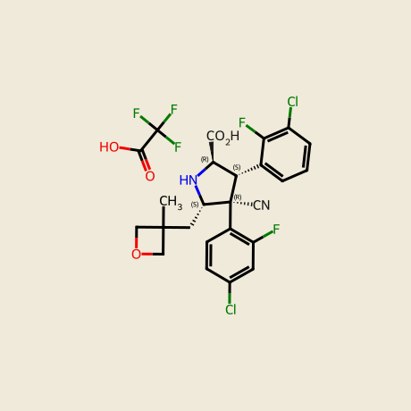 CC1(C[C@@H]2N[C@@H](C(=O)O)[C@H](c3cccc(Cl)c3F)[C@@]2(C#N)c2ccc(Cl)cc2F)COC1.O=C(O)C(F)(F)F